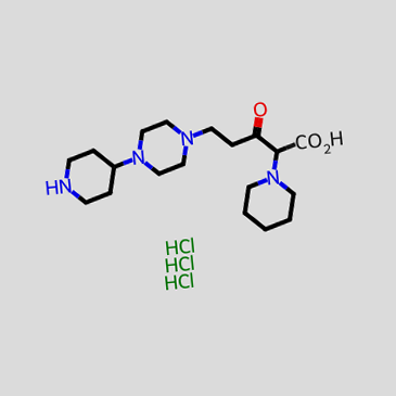 Cl.Cl.Cl.O=C(O)C(C(=O)CCN1CCN(C2CCNCC2)CC1)N1CCCCC1